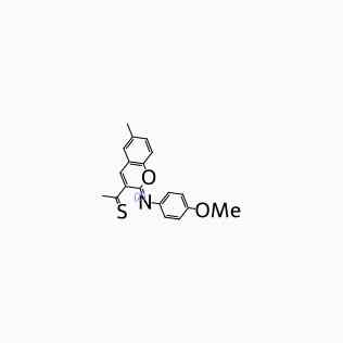 COc1ccc(/N=c2\oc3ccc(C)cc3cc2C(C)=S)cc1